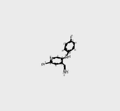 N=Cc1cc(Br)ncc1Nc1ccc(F)cc1